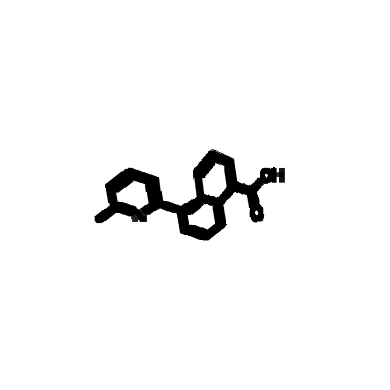 Cc1cccc(-c2cccc3c(C(=O)O)cccc23)n1